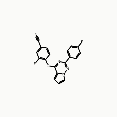 N#Cc1ccc(Oc2nc(-c3ccc(F)cc3)nn3cccc23)c(F)c1